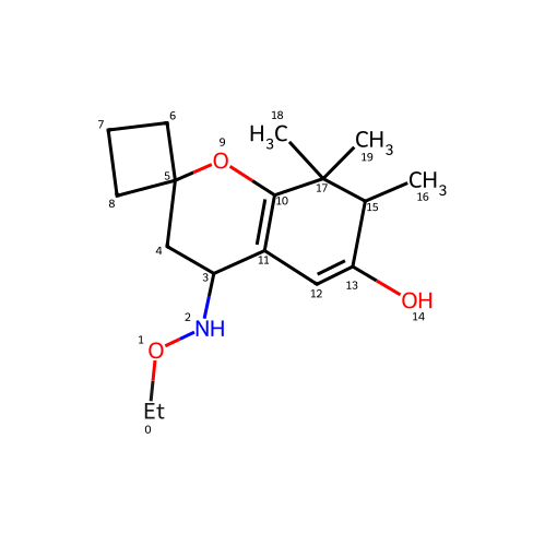 CCONC1CC2(CCC2)OC2=C1C=C(O)C(C)C2(C)C